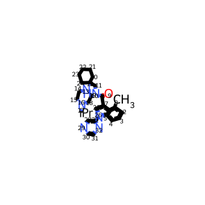 Cc1cccc2c1c(C(=O)NCC1(N3CCN(C(C)C)CC3)CCCCC1)cn2-c1cnccn1